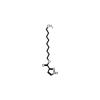 CCCCCCCCCCOC(=O)c1cc[nH]n1